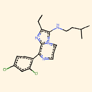 CCc1nc2c(-c3ccc(Cl)cc3Cl)nccn2c1NCCC(C)C